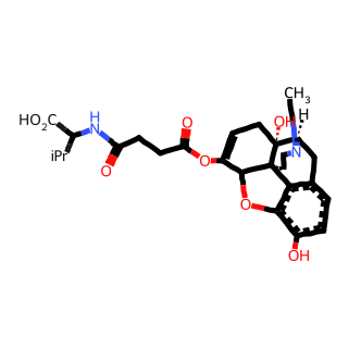 CC(C)C(NC(=O)CCC(=O)OC1=CC[C@@]2(O)[C@H]3Cc4ccc(O)c5c4[C@@]2(CCN3C)C1O5)C(=O)O